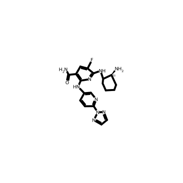 NC(=O)c1cc(F)c(NC2CCCC[C@@H]2N)nc1Nc1ccc(-n2nccn2)nc1